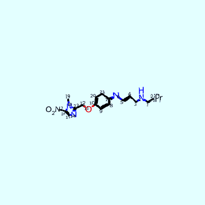 CC(C)CNCC=CN=C1C=CC(OCc2ncc([N+](=O)[O-])n2C)=CC1